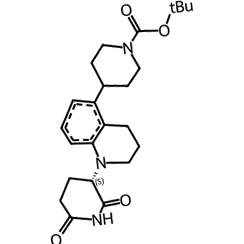 CC(C)(C)OC(=O)N1CCC(c2cccc3c2CCCN3[C@H]2CCC(=O)NC2=O)CC1